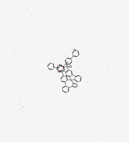 O=S1(=O)c2ccccc2-c2cc3c(cc21)-c1ccccc1C31c2ccccc2-c2ccccc2-c2ccc(-c3cc(-c4ccc(-c5cccnc5)cc4)nc(-c4ccccc4)n3)cc21